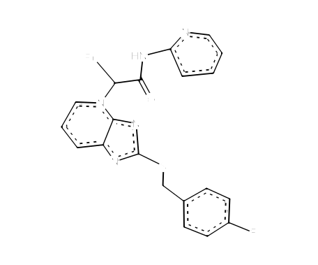 CCC(C(=O)Nc1ccccn1)n1cccc2nc(SCc3ccc(F)cc3)nc1-2